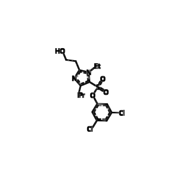 CCn1c(CCO)nc(C(C)C)c1S(=O)(=O)Oc1cc(Cl)cc(Cl)c1